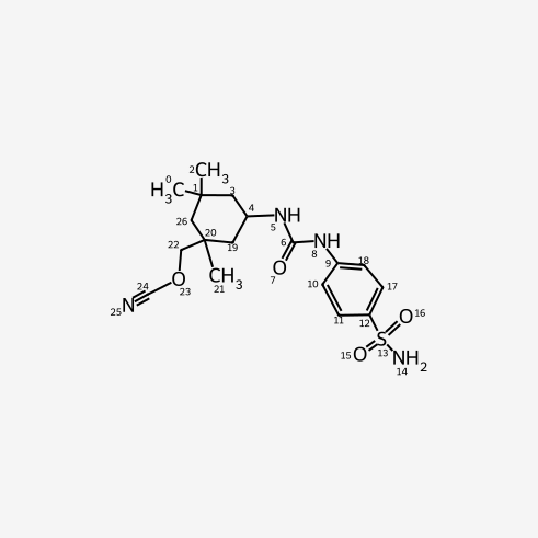 CC1(C)CC(NC(=O)Nc2ccc(S(N)(=O)=O)cc2)CC(C)(COC#N)C1